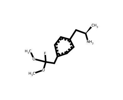 COC(F)(Cc1ccc(C[C@@H](C)N)cc1)OC